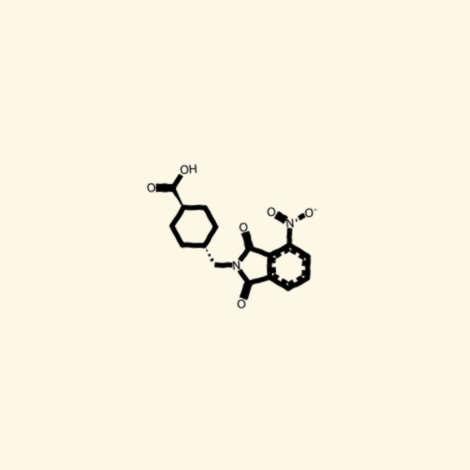 O=C1c2cccc([N+](=O)[O-])c2C(=O)N1C[C@H]1CC[C@H](C(=O)O)CC1